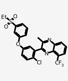 CCS(=O)(=O)c1cccc(Oc2ccc(Cl)c(-c3nc4c(C(F)(F)F)cccc4nc3C)c2)c1